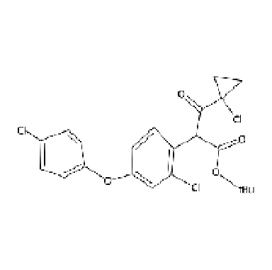 CC(C)(C)OC(=O)C(C(=O)C1(Cl)CC1)c1ccc(Oc2ccc(Cl)cc2)cc1Cl